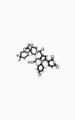 NC(=O)C1(N2CCC(F)(F)CC2)CCN(C(=O)c2cc(-c3ccc(Cl)cc3Cl)n(-c3ccc(Cl)cc3)c2CCO)CC1